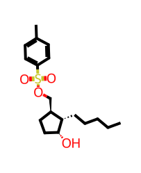 CCCCC[C@H]1[C@H](COS(=O)(=O)c2ccc(C)cc2)CC[C@H]1O